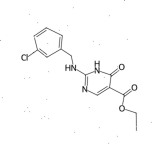 CCOC(=O)c1cnc(NCc2cccc(Cl)c2)[nH]c1=O